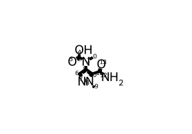 CN(C(=O)O)c1cnn(C)c1C(N)=O